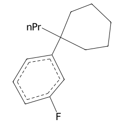 CCCC1(c2cccc(F)c2)CCCCC1